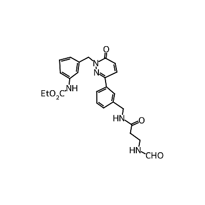 CCOC(=O)Nc1cccc(Cn2nc(-c3cccc(CNC(=O)CCNC=O)c3)ccc2=O)c1